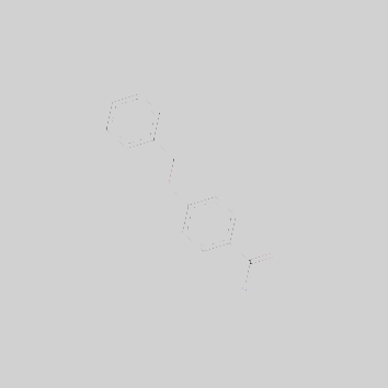 [NH]C(=O)c1ccc(OCc2ccccc2)cc1